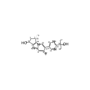 C[C@H]1CC(O)c2nc3cc(F)c(-c4cnc(C(C)(C)O)nc4)cn3c21